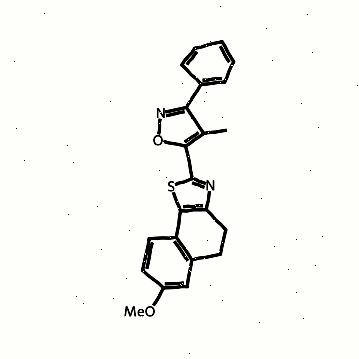 COc1ccc2c(c1)CCc1nc(-c3onc(-c4ccccc4)c3C)sc1-2